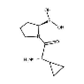 N[C@H](C(=O)N1CCC[C@H]1B(O)O)C1CC1